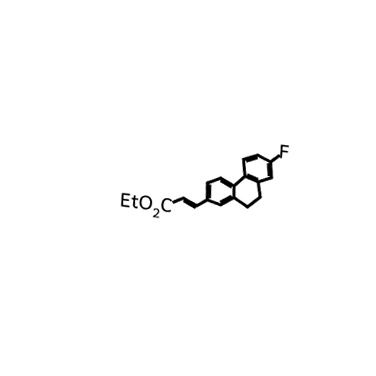 CCOC(=O)/C=C/c1ccc2c(c1)CCc1cc(F)ccc1-2